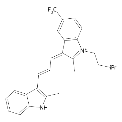 CC1=[N+](CCC(C)C)c2ccc(C(F)(F)F)cc2/C1=C/C=C/c1c(C)[nH]c2ccccc12